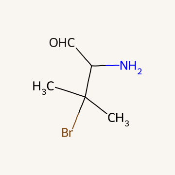 CC(C)(Br)C(N)C=O